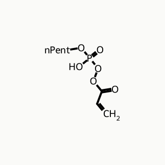 C=CC(=O)OOP(=O)(O)OCCCCC